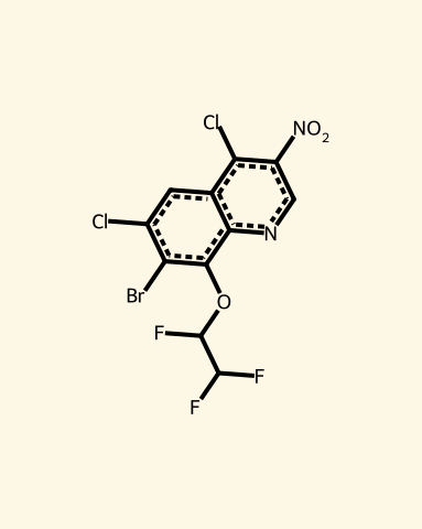 O=[N+]([O-])c1cnc2c(OC(F)C(F)F)c(Br)c(Cl)cc2c1Cl